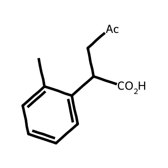 CC(=O)CC(C(=O)O)c1ccccc1C